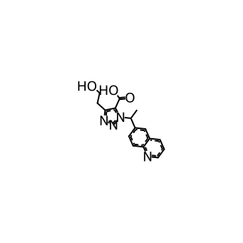 CC(c1ccc2ncccc2c1)n1nnc(CCO)c1C(=O)O